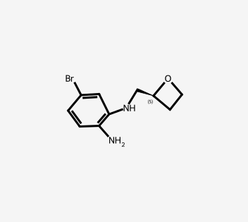 Nc1ccc(Br)cc1NC[C@@H]1CCO1